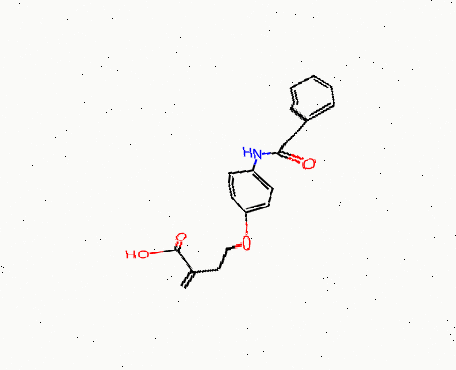 C=C(CCOc1ccc(NC(=O)c2ccccc2)cc1)C(=O)O